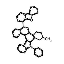 CC1C=Cc2c(c3c(c4ccccc4n3-c3ccccc3)c3c2cc(-c2cccc4c2oc2ccccc24)c2ccccc23)C1